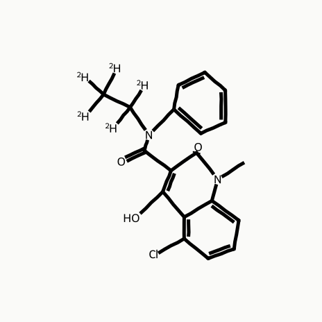 [2H]C([2H])([2H])C([2H])([2H])N(C(=O)c1c(O)c2c(Cl)cccc2n(C)c1=O)c1ccccc1